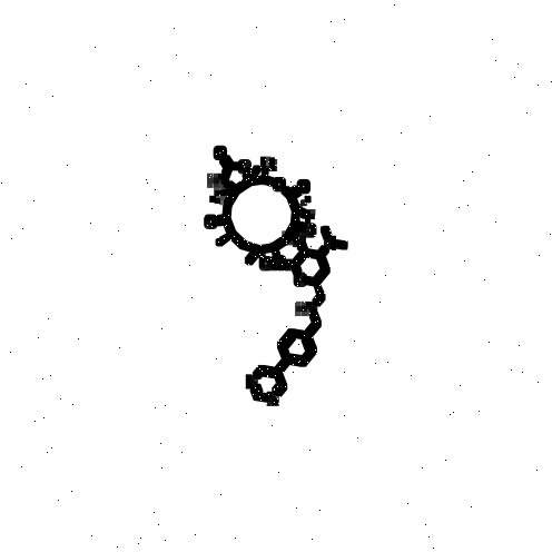 CC[C@H]1OC(=O)[C@@](C)(F)C(=O)[C@H](C)[C@@H](O[C@@H]2O[C@H](CNCc3ccc(-c4cncnc4)cc3)CC(N(C)C)C2O)[C@](C)(OC)C[C@@H](C)C(=O)[C@H](C)[C@H]2NC(=O)O[C@@]21C